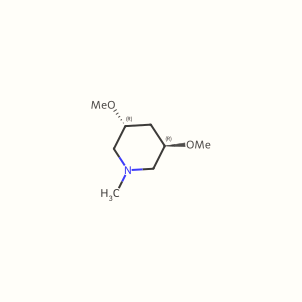 CO[C@@H]1C[C@@H](OC)CN(C)C1